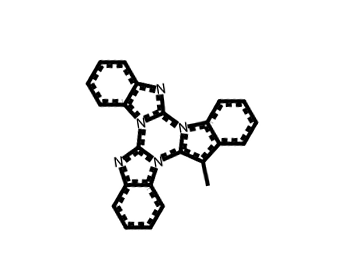 Cc1c2ccccc2n2c3nc4ccccc4n3c3nc4ccccc4n3c12